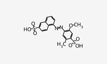 COc1cc(S(=O)(=O)O)c(C)cc1/N=N/c1cccc2cc(S(=O)(=O)O)ccc12